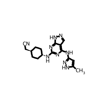 Cc1cc(Nc2nc(N[C@H]3CC[C@H](CC#N)CC3)nc3[nH]ncc23)n[nH]1